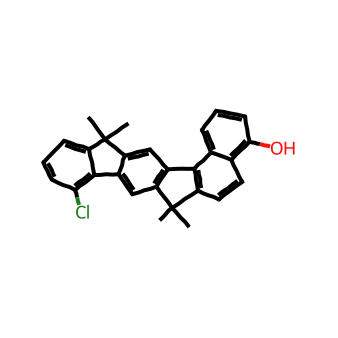 CC1(C)c2cc3c(cc2-c2c(Cl)cccc21)C(C)(C)c1ccc2c(O)cccc2c1-3